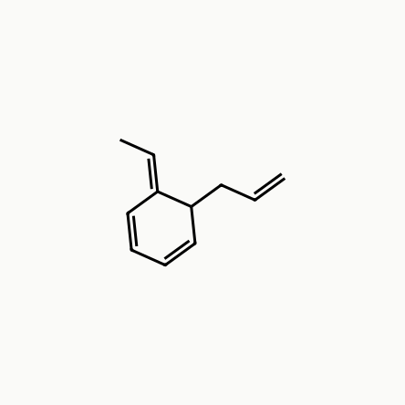 C=CCC1C=CC=CC1=CC